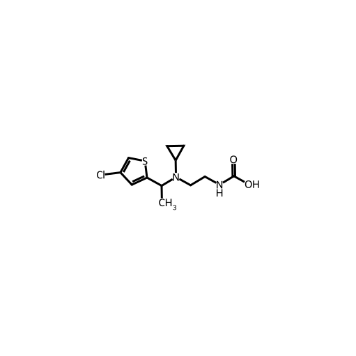 CC(c1cc(Cl)cs1)N(CCNC(=O)O)C1CC1